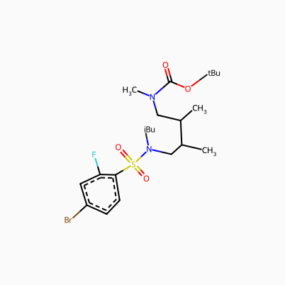 CCC(C)N(CC(C)C(C)CN(C)C(=O)OC(C)(C)C)S(=O)(=O)c1ccc(Br)cc1F